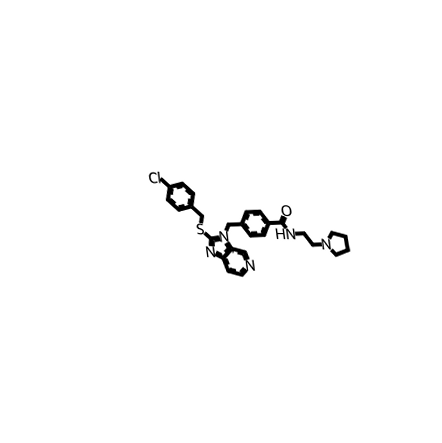 O=C(NCCN1CCCC1)c1ccc(Cn2c(SCc3ccc(Cl)cc3)nc3ccncc32)cc1